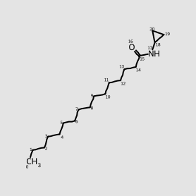 CCCCCCCCCCCCCCCC(=O)NC1CC1